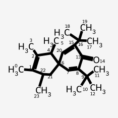 CC1=C(C)C(C)C2(C=C(C(C)(C)C)C(=O)C(C(C)(C)C)=C2)CC1C